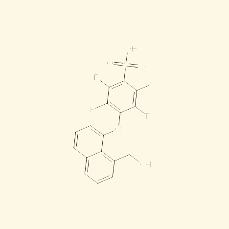 CCc1cccc2cccc(Oc3c(F)c(F)c(S(=O)(=O)O)c(F)c3F)c12